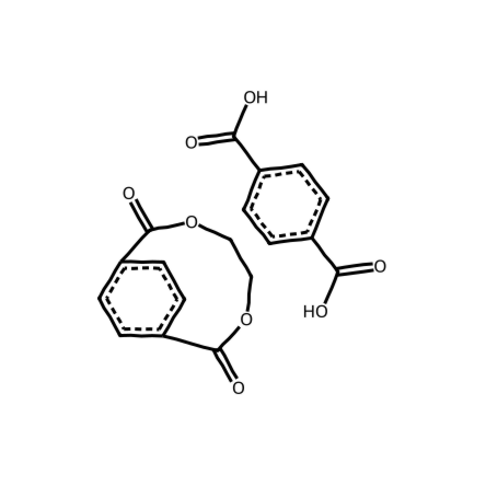 O=C(O)c1ccc(C(=O)O)cc1.O=C1OCCOC(=O)c2ccc1cc2